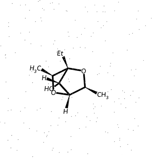 CC[C@]12O[C@@H](C)[C@H](O[C@H]1C)[C@@H]2O